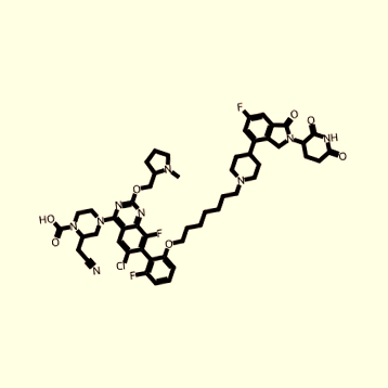 CN1CCCC1COc1nc(N2CCN(C(=O)O)C(CC#N)C2)c2cc(Cl)c(-c3c(F)cccc3OCCCCCCCN3CCC(c4cc(F)cc5c4CN(C4CCC(=O)NC4=O)C5=O)CC3)c(F)c2n1